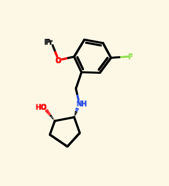 CC(C)Oc1ccc(F)cc1CN[C@@H]1CCC[C@@H]1O